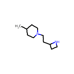 [CH2]C1CCN(CCC2CCN2)CC1